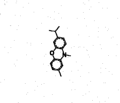 Cc1ccc2c(c1)N(C)c1ccc(C(C)C)cc1O2